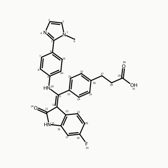 Cn1ccnc1-c1ccc(N/C(=C2\C(=O)Nc3cc(F)ccc32)c2ccc(CCC(=O)O)cc2)cc1